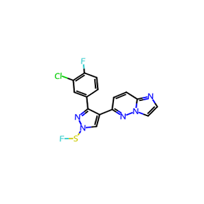 FSn1cc(-c2ccc3nccn3n2)c(-c2ccc(F)c(Cl)c2)n1